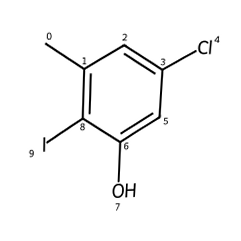 Cc1cc(Cl)cc(O)c1I